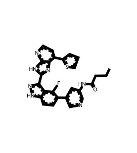 CCCC(=O)Nc1cncc(-c2ccc3[nH]nc(-c4nc5c(-c6cccs6)ccnc5[nH]4)c3c2F)c1